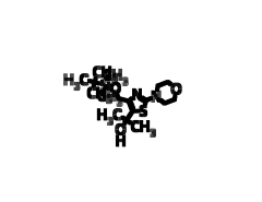 CC(C)(O)c1sc(N2CCOCC2)nc1CO[Si](C)(C)C(C)(C)C